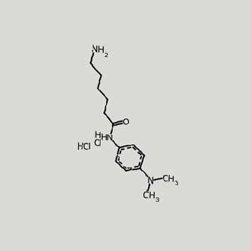 CN(C)c1ccc(NC(=O)CCCCCN)cc1.Cl.Cl